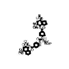 O=C(Nc1ccc(C(=O)N=C2C(S(=O)(=O)[O-])=CC(S(=O)(=O)[O-])c3ccccc32)cc1)Nc1ccc(C(=O)N=C2C(S(=O)(=O)[O-])=CC(S(=O)(=O)[O-])c3ccccc32)cc1.[Na+].[Na+].[Na+].[Na+]